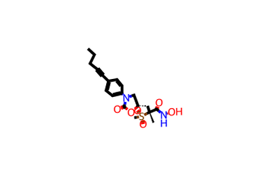 CCCC#Cc1ccc(N2C[C@H](C[C@](C)(C(=O)NO)S(C)(=O)=O)OC2=O)cc1